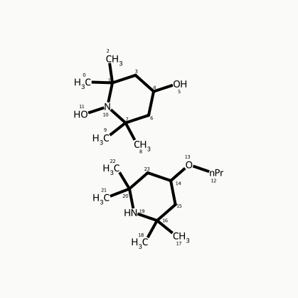 CC1(C)CC(O)CC(C)(C)N1O.CCCOC1CC(C)(C)NC(C)(C)C1